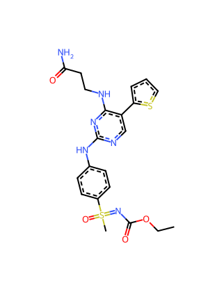 CCOC(=O)N=S(C)(=O)c1ccc(Nc2ncc(-c3cccs3)c(NCCC(N)=O)n2)cc1